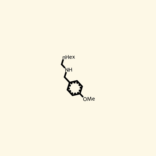 CCCCCCCNCc1ccc(OC)cc1